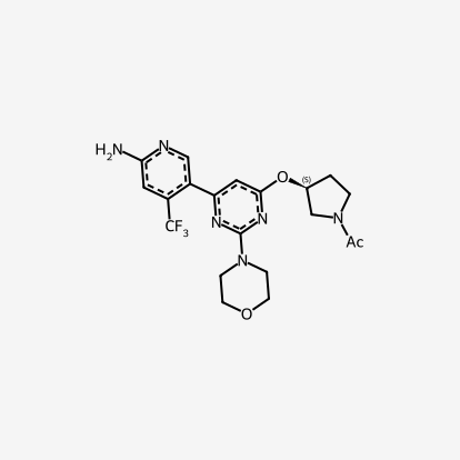 CC(=O)N1CC[C@H](Oc2cc(-c3cnc(N)cc3C(F)(F)F)nc(N3CCOCC3)n2)C1